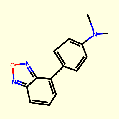 CN(C)c1ccc(-c2cccc3nonc23)cc1